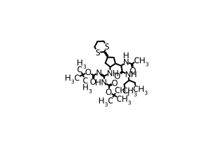 CCC(CC)NC(=O)C(NC(C)=O)C1CC(=C2SCCCS2)CC1NC(=NC(=O)OC(C)(C)C)NC(=O)OC(C)(C)C